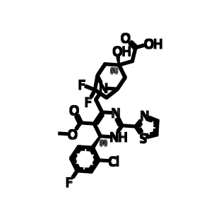 COC(=O)C1=C(CN2C3CC(F)(F)C2C[C@](O)(CC(=O)O)C3)N=C(c2nccs2)N[C@H]1c1ccc(F)cc1Cl